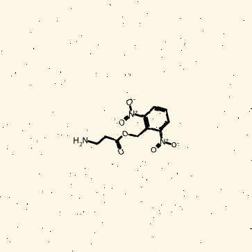 NCCC(=O)OCc1c([N+](=O)[O-])cccc1[N+](=O)[O-]